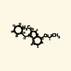 CCOc1ccnc2c1cc(C)n2Cc1ccccc1